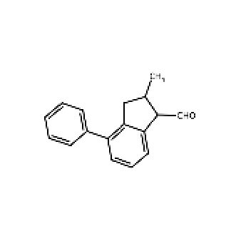 CC1Cc2c(-c3ccccc3)cccc2C1C=O